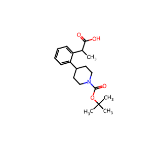 CC(C(=O)O)c1ccccc1C1CCN(C(=O)OC(C)(C)C)CC1